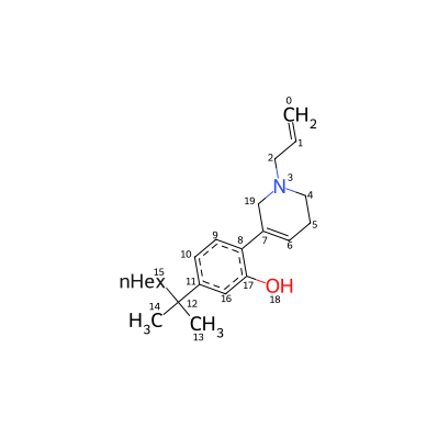 C=CCN1CCC=C(c2ccc(C(C)(C)CCCCCC)cc2O)C1